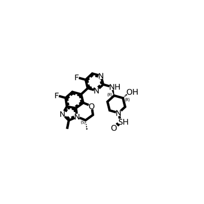 Cc1nc2c(F)cc(-c3nc(N[C@@H]4CCN([SH]=O)C[C@H]4O)ncc3F)c3c2n1[C@@H](C)CO3